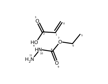 C=CC(=O)O.CCOC(=O)NN